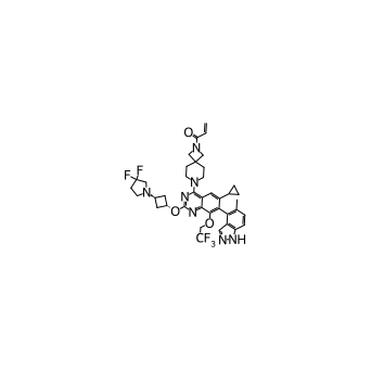 C=CC(=O)N1CC2(CCN(c3nc(O[C@H]4C[C@H](N5CCC(F)(F)C5)C4)nc4c(OCC(F)(F)F)c(-c5c(C)ccc6[nH]ncc56)c(C5CC5)cc34)CC2)C1